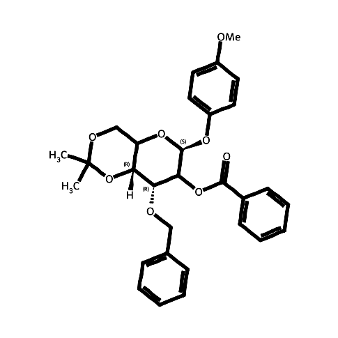 COc1ccc(O[C@@H]2OC3COC(C)(C)O[C@H]3[C@@H](OCc3ccccc3)C2OC(=O)c2ccccc2)cc1